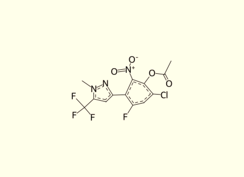 CC(=O)Oc1c(Cl)cc(F)c(-c2cc(C(F)(F)F)n(C)n2)c1[N+](=O)[O-]